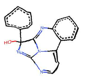 OC1(c2ccccc2)N=C2N=CC=C3c4ccccc4N=C1N32